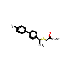 COC(=O)CSC(C)c1ccc(-c2ccc(C)cc2)cc1